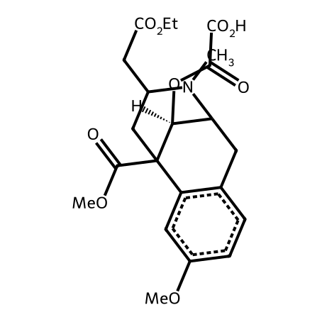 CCOC(=O)CC1CC2(C(=O)OC)c3cc(OC)ccc3CC([C@@H]2OC(=O)C(=O)O)N1C